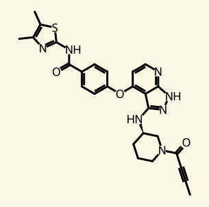 CC#CC(=O)N1CCC[C@@H](Nc2n[nH]c3nccc(Oc4ccc(C(=O)Nc5nc(C)c(C)s5)cc4)c23)C1